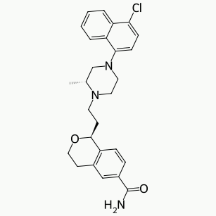 C[C@@H]1CN(c2ccc(Cl)c3ccccc23)CCN1CC[C@@H]1OCCc2cc(C(N)=O)ccc21